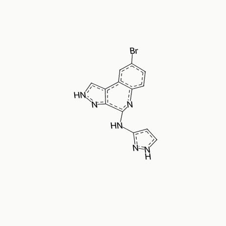 Brc1ccc2nc(Nc3cc[nH]n3)c3n[nH]cc3c2c1